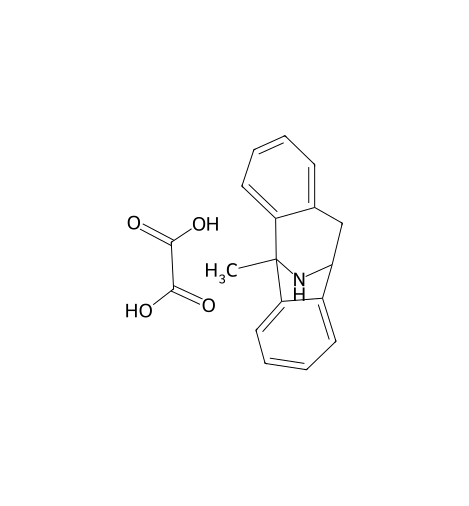 CC12NC(Cc3ccccc31)c1ccccc12.O=C(O)C(=O)O